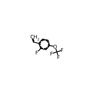 C=Cc1ccc(OC(F)(F)F)cc1F